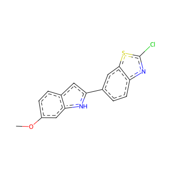 COc1ccc2cc(-c3ccc4nc(Cl)sc4c3)[nH]c2c1